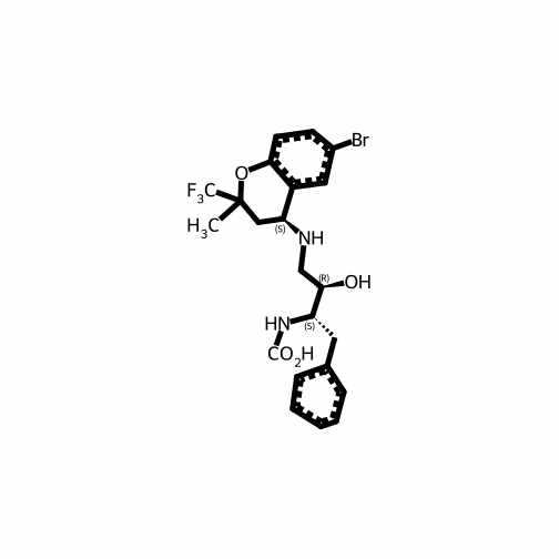 CC1(C(F)(F)F)C[C@H](NC[C@@H](O)[C@H](Cc2ccccc2)NC(=O)O)c2cc(Br)ccc2O1